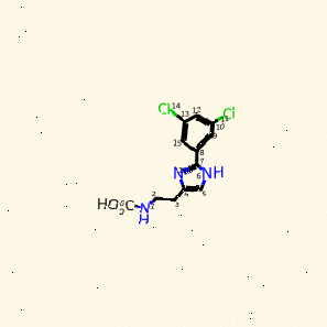 O=C(O)NCCc1c[nH]c(-c2cc(Cl)cc(Cl)c2)n1